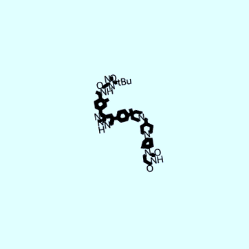 Cc1cc(-c2n[nH]c3ncc(-c4ccc(C5(C)CCN(CC6CCN(c7ccc(N8CCC(=O)NC8=O)cc7)CC6)CC5)cc4)cc23)ccc1C(C)NC(=O)c1noc(C(C)(C)C)n1